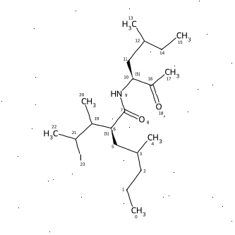 CCCC(C)C[C@H](C(=O)N[C@@H](CC(C)CC)C(C)=O)C(C)C(C)I